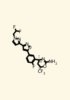 C[C@@]1(c2cc(-c3cc(-c4ccn(CC(F)F)n4)no3)ccc2F)C[C@@H](C(F)(F)F)OC(N)=N1